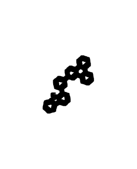 C1=c2c(c3ccccc3c3ccccc23)=CC(c2cccc(-c3cccc4c3sc3ccccc34)c2)C1